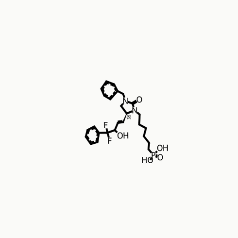 O=C1N(Cc2ccccc2)C[C@H](C=CC(O)C(F)(F)c2ccccc2)N1CCCCCCP(=O)(O)O